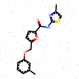 Cc1cccc(OCc2ccc(C(=O)Nc3nc(C)cs3)o2)c1